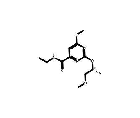 CCNC(=O)c1cc(SC)nc(O[C@H](C)COC)n1